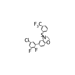 Fc1cc(Cl)cc(-c2ccc3c(c2)N(Sc2cccc(C(F)(F)F)c2)CCO3)c1F